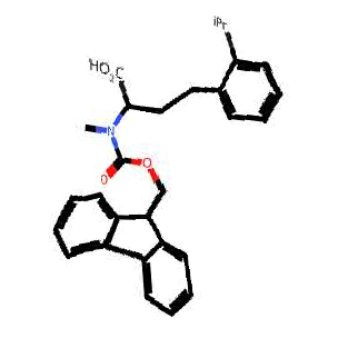 CC(C)c1ccccc1CCC(C(=O)O)N(C)C(=O)OCC1c2ccccc2-c2ccccc21